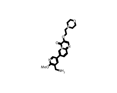 COc1ncc(-c2ccc3ncc(OCCN4CCOCC4)c(=O)n3c2)cc1CN